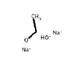 CC[O-].[Na+].[Na+].[OH-]